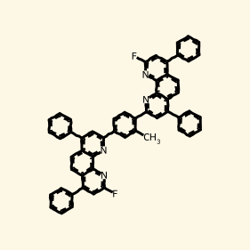 Cc1cc(-c2cc(-c3ccccc3)c3ccc4c(-c5ccccc5)cc(F)nc4c3n2)ccc1-c1cc(-c2ccccc2)c2ccc3c(-c4ccccc4)cc(F)nc3c2n1